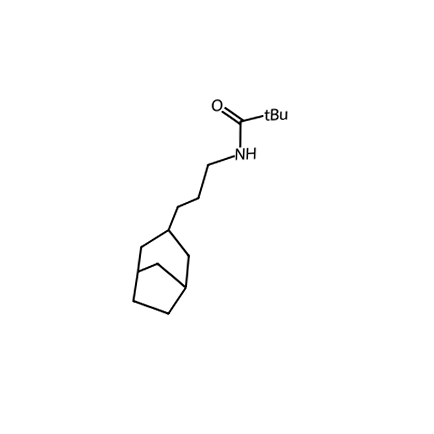 CC(C)(C)C(=O)NCCCC1CC2CCC(C1)C2